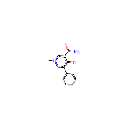 Cn1cc(C(N)=O)c(=O)c(C2=CCCC=C2)c1